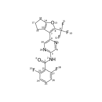 O=C(Nc1cnc(-c2c(C(F)(F)F)oc3c2CCC3)cn1)c1c(F)cccc1F